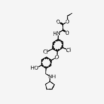 CCOC(=O)C(=O)Nc1cc(Cl)c(Oc2ccc(O)c(CNC3CCCC3)c2)c(Cl)c1